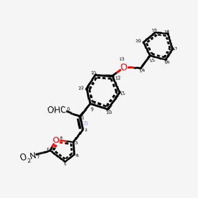 O=C/C(=C\c1ccc([N+](=O)[O-])o1)c1ccc(OCc2ccccc2)cc1